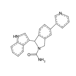 NC(=O)N1Cc2cc(-c3cccnc3)ccc2C1c1c[nH]c2ccccc12